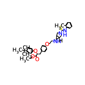 CCOC(=O)[C@H](Cc1ccc(OCCN[C@@H]2C3CN(C(=S)Nc4ccccc4C)C[C@H]32)cc1)Oc1ccc(C(C)(C)C)cc1